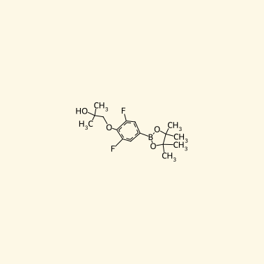 CC(C)(O)COc1c(F)cc(B2OC(C)(C)C(C)(C)O2)cc1F